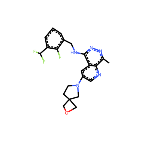 Cc1nnc(NCc2cccc(C(F)F)c2F)c2cc(N3CCC4(COC4)C3)cnc12